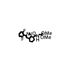 COC(CNC(=O)C1CCCc2cc(-c3c(F)cccc3F)nnc21)OC